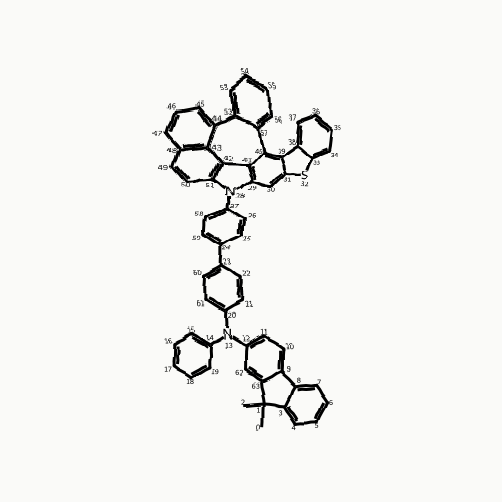 CC1(C)c2ccccc2-c2ccc(N(c3ccccc3)c3ccc(-c4ccc(-n5c6cc7sc8ccccc8c7c7c6c6c8c(cccc8ccc65)-c5ccccc5-7)cc4)cc3)cc21